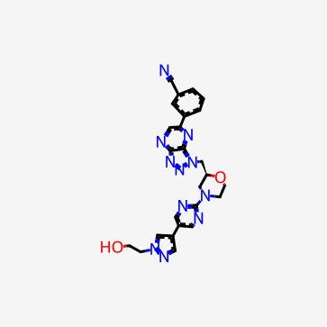 N#Cc1cccc(-c2cnc3nnn(C[C@@H]4CN(c5ncc(-c6cnn(CCO)c6)cn5)CCO4)c3n2)c1